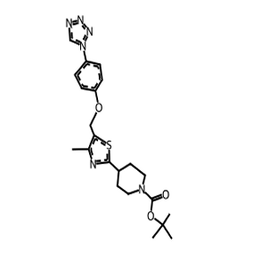 Cc1nc(C2CCN(C(=O)OC(C)(C)C)CC2)sc1COc1ccc(-n2cnnn2)cc1